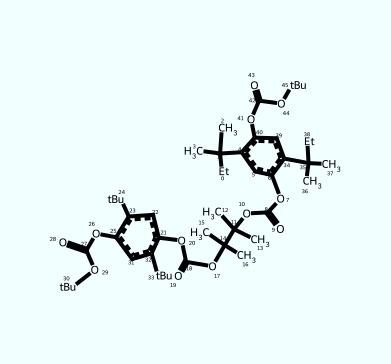 CCC(C)(C)c1cc(OC(=O)OC(C)(C)C(C)(C)OC(=O)Oc2cc(C(C)(C)C)c(OC(=O)OC(C)(C)C)cc2C(C)(C)C)c(C(C)(C)CC)cc1OC(=O)OC(C)(C)C